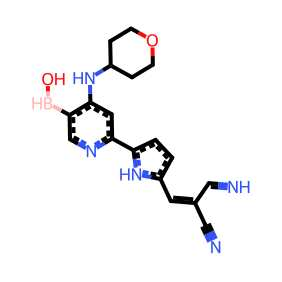 N#C/C(C=N)=C/c1ccc(-c2cc(NC3CCOCC3)c(BO)cn2)[nH]1